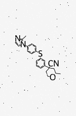 Cc1nccn1-c1ccc(Sc2cccc(C3(C#N)CCOC(C)C3)c2)cc1